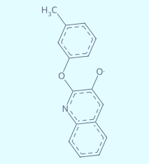 Cc1cccc(Oc2nc3ccccc3cc2[O])c1